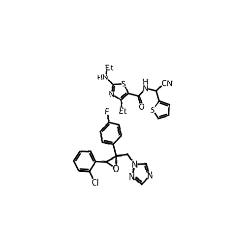 CCNc1nc(CC)c(C(=O)NC(C#N)c2cccs2)s1.Fc1ccc(C2(Cn3cncn3)OC2c2ccccc2Cl)cc1